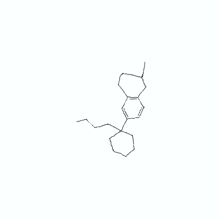 CCCCC1(c2ccc3c(c2)CCC(C)C3)CCCCC1